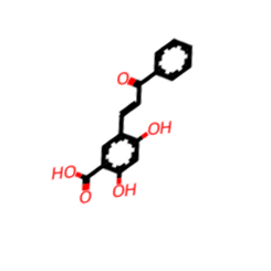 O=C(C=Cc1cc(C(=O)O)c(O)cc1O)c1ccccc1